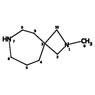 CN1CC2(CCCNCC2)C1